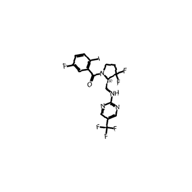 O=C(c1cc(F)ccc1I)N1CCC(F)(F)[C@H]1CNc1ncc(C(F)(F)F)cn1